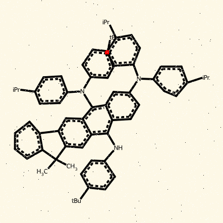 CC(C)c1ccc(N(c2ccc(C(C)C)cc2)c2ccc3c(Nc4ccc(C(C)(C)C)cc4)c4cc5c(cc4c(N(c4ccc(C(C)C)cc4)c4ccc(C(C)(C)C)cc4)c3c2)-c2ccccc2C5(C)C)cc1